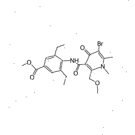 CCc1cc(C(=O)OC)cc(CC)c1NC(=O)c1c(COC)n(C)c(C)c(Br)c1=O